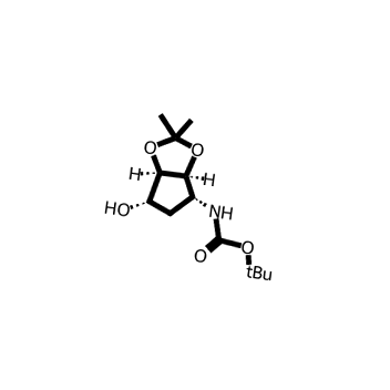 CC(C)(C)OC(=O)N[C@@H]1C[C@H](O)[C@H]2OC(C)(C)O[C@H]21